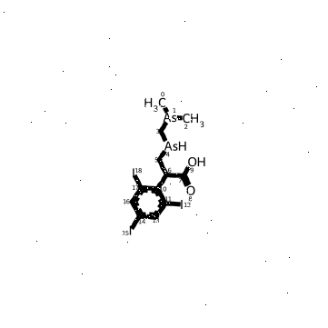 C[As](C)C[AsH]CC(C(=O)O)c1c(I)cc(I)cc1I